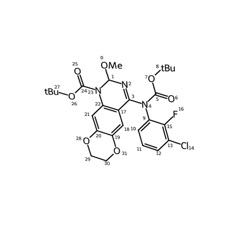 COC1N=C(N(C(=O)OC(C)(C)C)c2cccc(Cl)c2F)c2cc3c(cc2N1C(=O)OC(C)(C)C)OCCO3